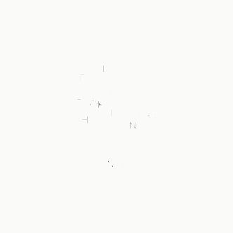 [2H]C([2H])(O)CCc1cnccc1CN1CC(c2cc(F)c(F)c(F)c2)CC1=O